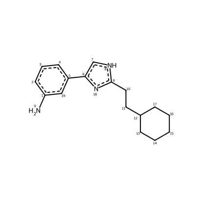 Nc1cccc(-c2c[nH]c(CCC3CCCCC3)n2)c1